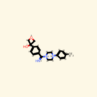 N=C(c1ccc(C2(O)COC2)cc1)N1CCN(c2ccc(C(F)(F)F)cc2)CC1